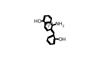 NC(N)C(/C=C\c1ccccc1O)=C/c1ccccc1O